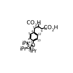 CC(C)[Si](Oc1ccc(CC(CC(=O)O)C(=O)O)cc1)(C(C)C)C(C)C